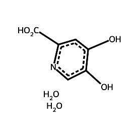 O.O.O=C(O)c1cc(O)c(O)cn1